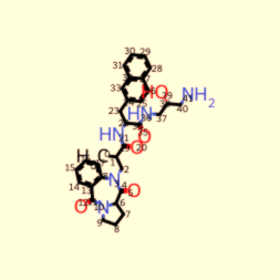 CC(CN1C(=O)C2CCCN2C(=O)c2ccccc21)C(=O)NC(Cc1ccc2ccccc2c1)C(=O)NC[C@H](O)CN